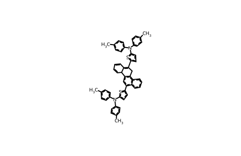 Cc1ccc(N(c2ccc(C)cc2)c2ccc(C3=C4C=CC=CC4c4cc(-c5ccc(N(c6ccc(C)cc6)c6ccc(C)cc6)s5)c5ccccc5c4C3)s2)cc1